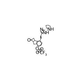 O=C1CC2c3c(C#Cc4cnc([C@@H]5CCCN5)[nH]4)ccc(OS(=O)(=O)C(F)(F)F)c3CC12